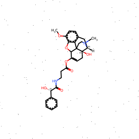 COc1ccc2c3c1OC1C(OC(=O)CCNC(=O)[C@@H](O)c4ccccc4)=CC[C@@]4(O)[C@@H](C2)N(C)CCC314